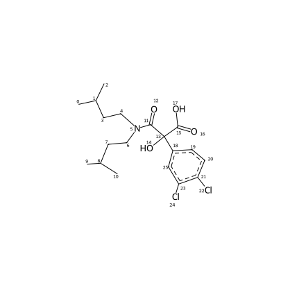 CC(C)CCN(CCC(C)C)C(=O)C(O)(C(=O)O)c1ccc(Cl)c(Cl)c1